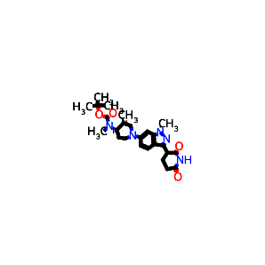 C[C@@H]1CN(c2ccc3c(C4CCC(=O)NC4=O)nn(C)c3c2)CC[C@H]1N(C)C(=O)OC(C)(C)C